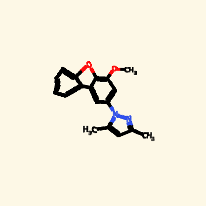 COc1cc(-n2nc(C)cc2C)cc2c1oc1ccccc12